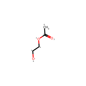 CC(=O)OCC[O]